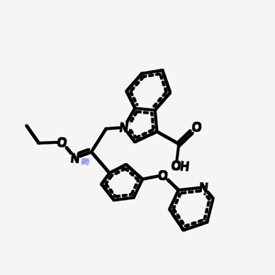 CCO/N=C(\Cn1cc(C(=O)O)c2ccccc21)c1cccc(Oc2ccccn2)c1